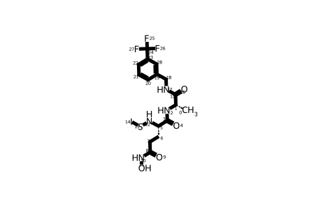 C[C@H](NC(=O)[C@H](CCC(=O)NO)NSI)C(=O)NCc1cccc(C(F)(F)F)c1